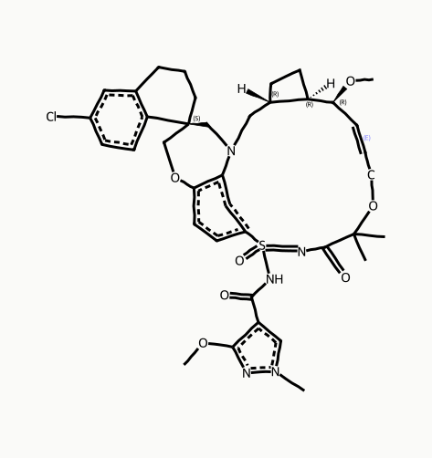 COc1nn(C)cc1C(=O)NS1(=O)=NC(=O)C(C)(C)OC/C=C/[C@H](OC)[C@@H]2CC[C@H]2CN2C[C@@]3(CCCc4cc(Cl)ccc43)COc3ccc1cc32